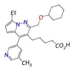 CCc1ccc2c(-c3cncc(C)c3)c(CCCCC(=O)O)c(COC3CCCCC3)nn12